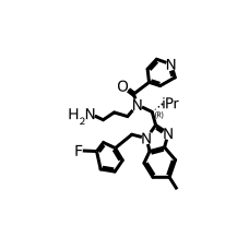 Cc1ccc2c(c1)nc([C@@H](C(C)C)N(CCCN)C(=O)c1ccncc1)n2Cc1cccc(F)c1